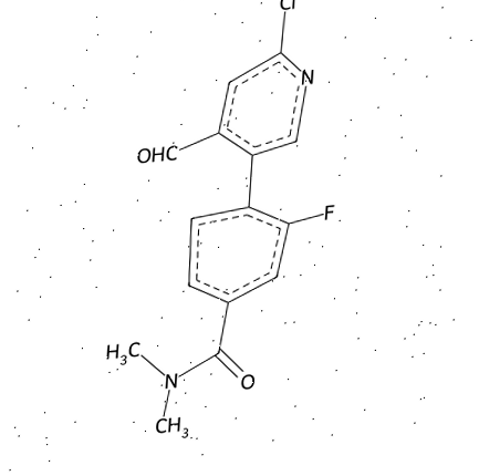 CN(C)C(=O)c1ccc(-c2cnc(Cl)cc2C=O)c(F)c1